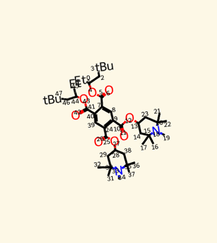 CCC(CC(C)(C)C)OC(=O)c1cc(C(=O)OC2CC(C)(C)N(C)C(C)(C)C2)c(C(=O)OC2CC(C)(C)N(C)C(C)(C)C2)cc1C(=O)OC(CC)CC(C)(C)C